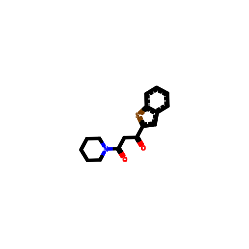 O=C(CC(=O)N1CCCCC1)c1cc2ccccc2s1